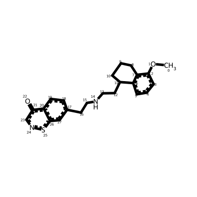 COc1cccc2c1CCCC2CCNCCc1ccc2c(=O)cnsc2c1